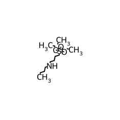 CCCCNCCCC[Si](OCC)(OCC)OCC